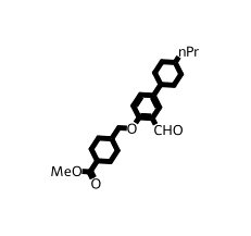 CCCC1CCC(c2ccc(OCC3CCC(C(=O)OC)CC3)c(C=O)c2)CC1